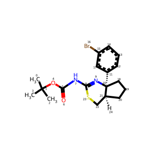 CC(C)(C)OC(=O)NC1=N[C@@]2(c3cccc(Br)c3)CCC[C@H]2CS1